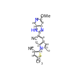 COc1cc2nc(C(C#N)=Cc3cc(C)n(-c4sc(C(F)(F)F)cc4C#N)c3C)[nH]c2cn1